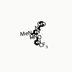 CNC(=O)c1cc2nc(C3COCCO3)cn2cc1NC(=O)c1cccc(C(F)(F)F)n1